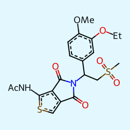 CCOc1cc(C(CS(C)(=O)=O)N2C(=O)c3csc(NC(C)=O)c3C2=O)ccc1OC